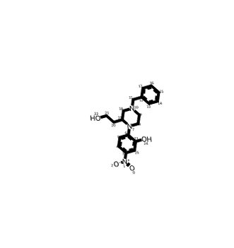 O=[N+]([O-])c1ccc(N2CCN(Cc3ccccc3)CC2CCO)c(O)c1